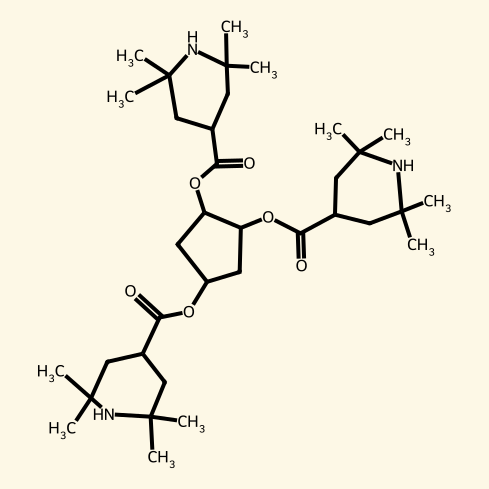 CC1(C)CC(C(=O)OC2CC(OC(=O)C3CC(C)(C)NC(C)(C)C3)C(OC(=O)C3CC(C)(C)NC(C)(C)C3)C2)CC(C)(C)N1